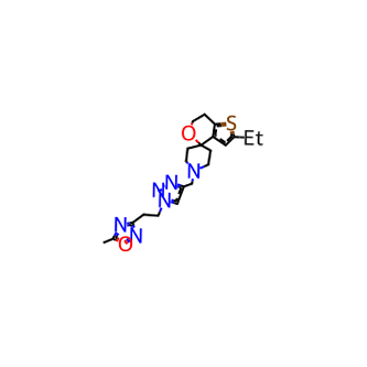 CCc1cc2c(s1)CCOC21CCN(Cc2cn(CCc3noc(C)n3)nn2)CC1